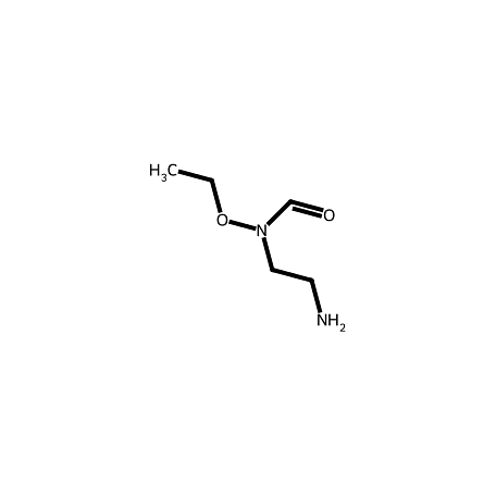 CCON(C=O)CCN